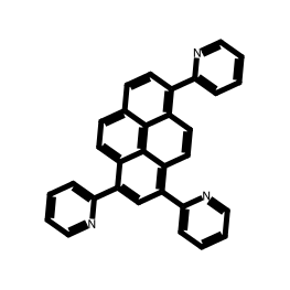 c1ccc(-c2ccc3ccc4c(-c5ccccn5)cc(-c5ccccn5)c5ccc2c3c45)nc1